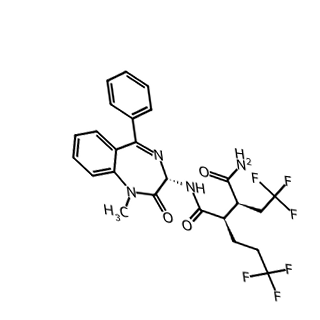 CN1C(=O)[C@@H](NC(=O)[C@H](CCC(F)(F)F)[C@H](CC(F)(F)F)C(N)=O)N=C(c2ccccc2)c2ccccc21